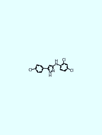 Clc1ccc(-c2cc(Nc3ccc(Cl)cc3Cl)n[nH]2)cc1